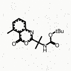 Cc1cccc2nc(C(C)(C)NC(=O)OC(C)(C)C)oc(=O)c12